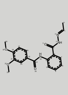 C/C=N/NC(=O)c1ccccc1NC(=O)c1ccc(OC)c(OC)c1